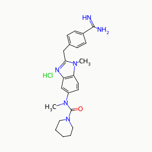 CN(C(=O)N1CCCCC1)c1ccc2c(c1)nc(Cc1ccc(C(=N)N)cc1)n2C.Cl